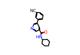 N#Cc1cccc(-c2cncc(C(=O)NC3CCCCC3)c2)c1